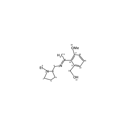 CCN1CCCC1C/N=C(\C)c1c(CO)cccc1OC